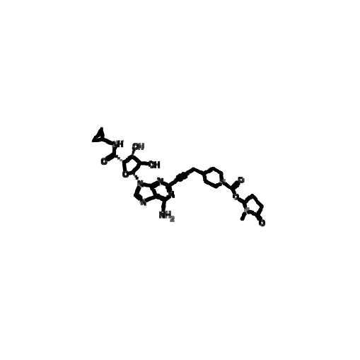 CN1C(=O)CCC1OC(=O)N1CCC(CC#Cc2nc(N)c3ncn([C@@H]4O[C@H](C(=O)NC5CC5)[C@H](O)C4O)c3n2)CC1